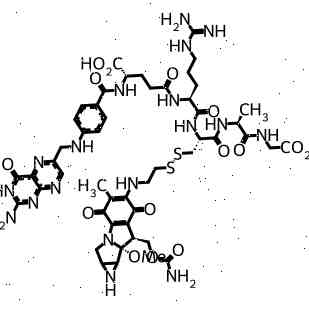 CO[C@]12C3NC3CN1C1=C(C(=O)C(NCCSSC[C@H](NC(=O)[C@H](CCCNC(=N)N)NC(=O)CC[C@H](NC(=O)c3ccc(NCc4cnc5nc(N)[nH]c(=O)c5n4)cc3)C(=O)O)C(=O)N[C@@H](C)C(=O)NCC(=O)O)=C(C)C1=O)[C@H]2COC(N)=O